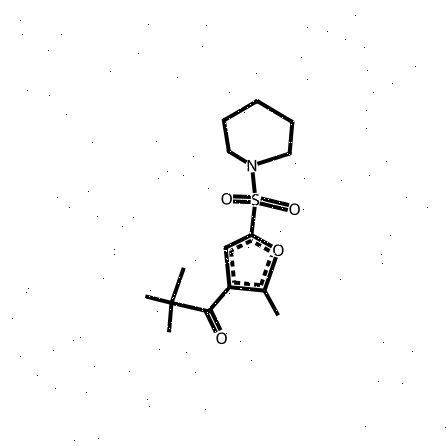 Cc1oc(S(=O)(=O)N2CCCCC2)cc1C(=O)C(C)(C)C